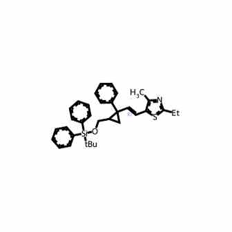 CCc1nc(C)c(/C=C/C2(c3ccccc3)CC2CO[Si](c2ccccc2)(c2ccccc2)C(C)(C)C)s1